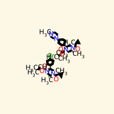 C[C@@H]1CN(C(=O)OC(C)(C)C)[C@@H](c2ccc(Br)cc2)CN1C(=O)C1(C)CC1.C[C@@H]1CN(C(=O)OC(C)(C)C)[C@@H](c2ccc(N3CCN(C)CC3)cc2)CN1C(=O)C1(C)CC1